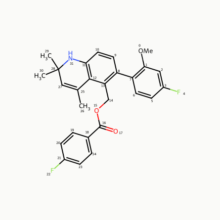 COc1cc(F)ccc1-c1ccc2c(c1COC(=O)c1ccc(F)cc1)C(C)=CC(C)(C)N2